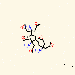 CC(CC(CCC(N)(CC1CO1)CC1CO1)C(N)(CC1CO1)CC1CO1)C(N)(CC1CO1)CC1CO1